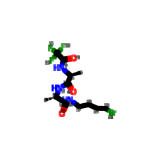 C[C@H](NC(=O)[C@H](C)NC(=O)C(F)(F)F)C(=O)NCCCCBr